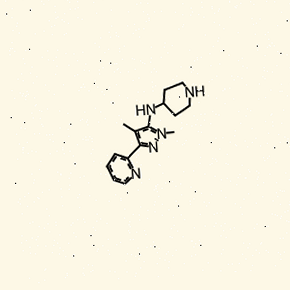 Cc1c(-c2ccccn2)nn(C)c1NC1CCNCC1